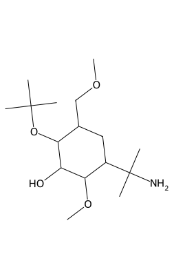 COCC1CC(C(C)(C)N)C(OC)C(O)C1OC(C)(C)C